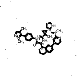 Cc1cnn(C)c1-c1ccc(NC(=O)[C@@H](NC(=O)C2(C)CC2)[C@@H]2CCCc3ccc(-c4ccnc(N(C)C[C@@H]5CCCN5)c4)cc32)cc1